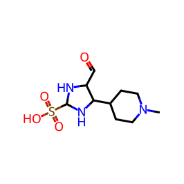 CN1CCC(C2NC(S(=O)(=O)O)NC2C=O)CC1